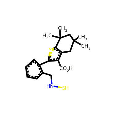 CC1(C)Cc2c(sc(-c3ccccc3CNS)c2C(=O)O)C(C)(C)C1